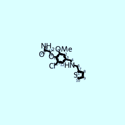 COc1cc(CNCc2cccs2)cc(Cl)c1OCC(N)=O